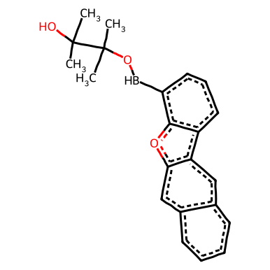 CC(C)(O)C(C)(C)OBc1cccc2c1oc1cc3ccccc3cc12